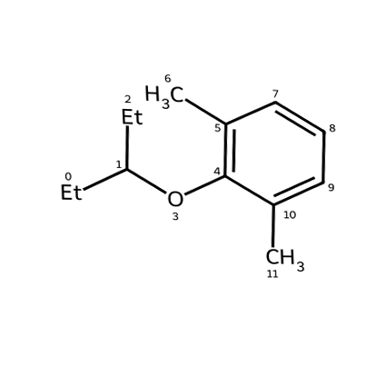 CCC(CC)Oc1c(C)cccc1C